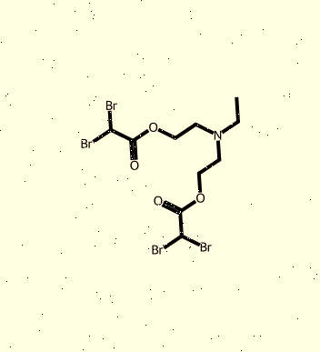 CCN(CCOC(=O)C(Br)Br)CCOC(=O)C(Br)Br